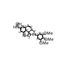 COc1cc(NCC2C=Cc3nc(NO)cc(N)c3C2=O)cc(OC)c1OC